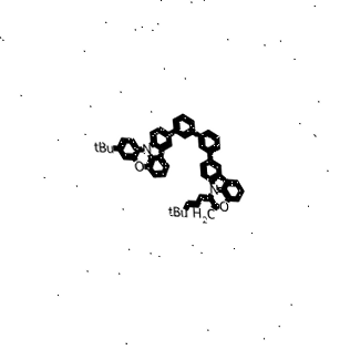 C=C1OC2=c3c(c4cc(-c5cccc(-c6cccc(-c7ccc8c(c7)c7cccc9c7n8-c7ccc(C(C)(C)C)cc7O9)c6)c5)ccc4n3/C1=C/C=C/C(C)(C)C)=CCC2